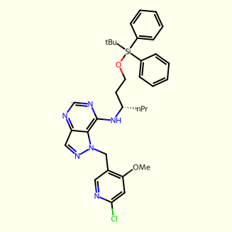 CCC[C@@H](CCO[Si](c1ccccc1)(c1ccccc1)C(C)(C)C)Nc1n[c]nc2cnn(Cc3cnc(Cl)cc3OC)c12